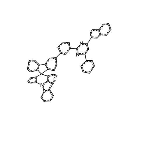 c1ccc(-c2cc(-c3ccc4ccccc4c3)nc(-c3cccc(-c4ccc5c(c4)-c4ccccc4C54c5ccccc5-n5c6ccccc6c6cccc4c65)c3)n2)cc1